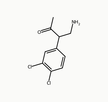 CC(=O)C(CN)c1ccc(Cl)c(Cl)c1